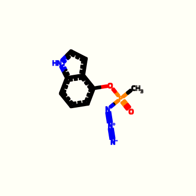 CP(=O)(N=[N+]=[N-])Oc1cccc2[nH]ccc12